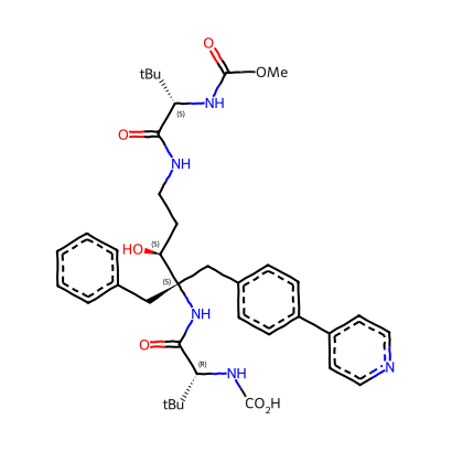 COC(=O)N[C@H](C(=O)NCC[C@H](O)[C@](Cc1ccccc1)(Cc1ccc(-c2ccncc2)cc1)NC(=O)[C@H](NC(=O)O)C(C)(C)C)C(C)(C)C